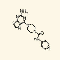 Nc1nc(N2CCN(C(=O)Nc3ccncc3)CC2)c2ncsc2n1